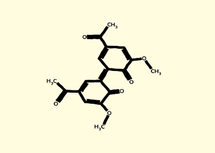 COC1=CC(C(C)=O)=C/C(=C2\C=C(C(C)=O)C=C(OC)C2=O)C1=O